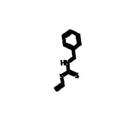 C=CSC(=S)NCc1ccccc1